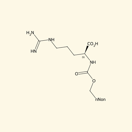 CCCCCCCCCCOC(=O)N[C@@H](CCCNC(=N)N)C(=O)O